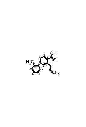 CCCc1ccccc1C(=O)O.Cc1ccccc1